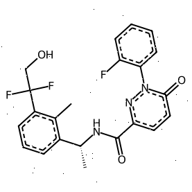 Cc1c([C@@H](C)NC(=O)c2ccc(=O)n(-c3ccccc3F)n2)cccc1C(F)(F)CO